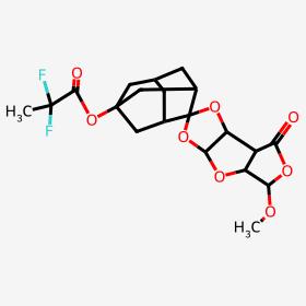 COC1OC(=O)C2C1OC1OC3(OC12)C1CC2CC3CC(OC(=O)C(C)(F)F)(C2)C1